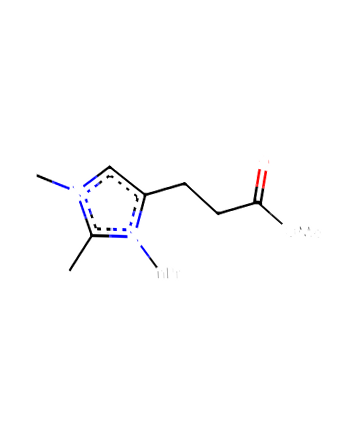 CCC[n+]1c(CCC(=O)OC)cn(C)c1C